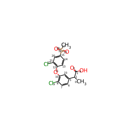 CC(C(=O)O)c1ccc(Cl)c(Oc2ccc(S(C)(=O)=O)cc2Cl)c1